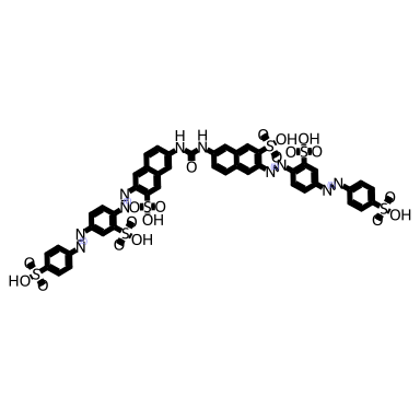 O=C(Nc1ccc2cc(/N=N/c3ccc(/N=N/c4ccc(S(=O)(=O)O)cc4)cc3S(=O)(=O)O)c(S(=O)(=O)O)cc2c1)Nc1ccc2cc(/N=N/c3ccc(/N=N/c4ccc(S(=O)(=O)O)cc4)cc3S(=O)(=O)O)c(S(=O)(=O)O)cc2c1